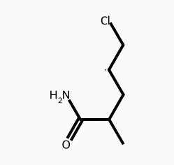 CC(C[CH]CCl)C(N)=O